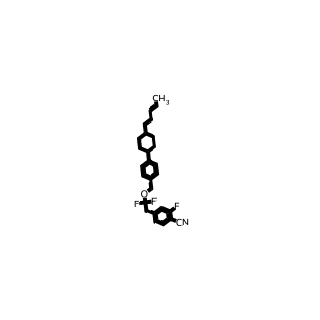 CC=CCCC1CCC(c2ccc(COC(F)(F)Cc3ccc(C#N)c(F)c3)cc2)CC1